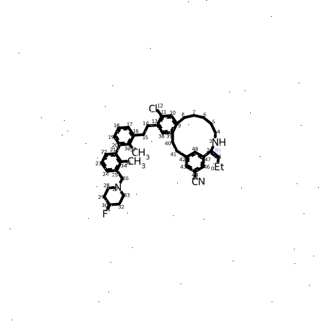 CC/C=C1/NCCCCCc2cc(Cl)c(CCc3cccc(-c4cccc(CN5CCC(F)CC5)c4C)c3C)cc2CCc2cc(C#N)cc1c2